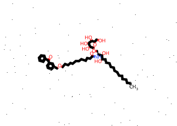 CCCCCCCCCCCCCC[C@@H](O)[C@@H](O)[C@H](COC1OC(CO)C(O)C(O)C1O)NC(=O)CCCCCCCCCCCOCc1cccc(C(=O)c2ccccc2)c1